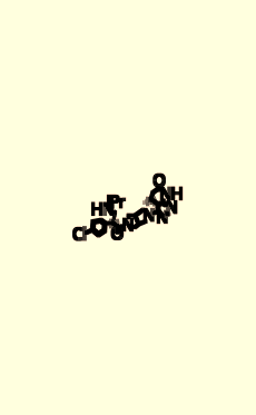 CC(C)NC[C@@H](C(=O)N1CC2CN(c3ncnc4c3[C@H](C)CC(=O)N4)CC2C1)c1ccc(Cl)cc1